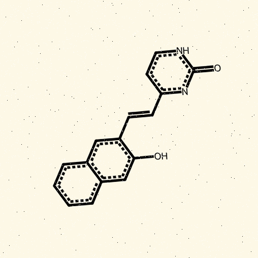 O=c1nc(C=Cc2cc3ccccc3cc2O)cc[nH]1